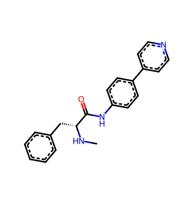 CN[C@H](Cc1ccccc1)C(=O)Nc1ccc(-c2ccncc2)cc1